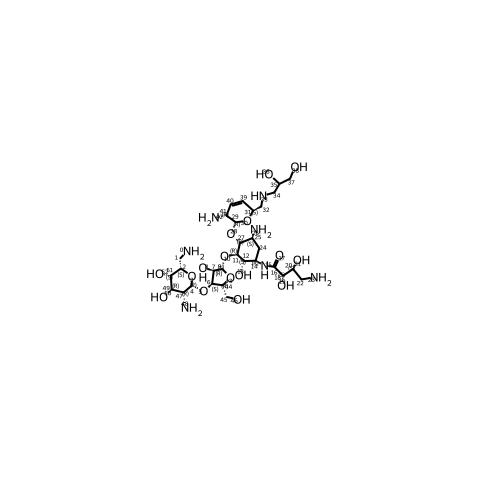 NC[C@@H]1O[C@H](O[C@H]2[C@@H](O)[C@H](O[C@@H]3[C@@H](O)[C@H](NC(=O)[C@@H](O)[C@@H](O)CN)C[C@H](N)[C@H]3O[C@H]3O[C@H](CNCC(O)CO)C=C[C@H]3N)O[C@@H]2CO)[C@H](N)[C@@H](O)[C@@H]1O